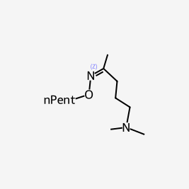 CCCCCO/N=C(/C)CCCN(C)C